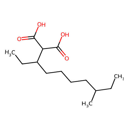 CCC(C)CCCCC(CC)C(C(=O)O)C(=O)O